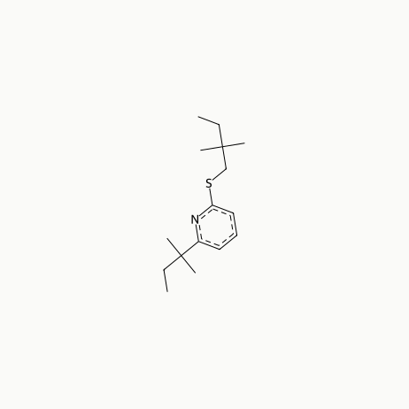 CCC(C)(C)CSc1cccc(C(C)(C)CC)n1